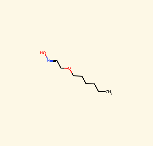 CCCCCCOCC=NO